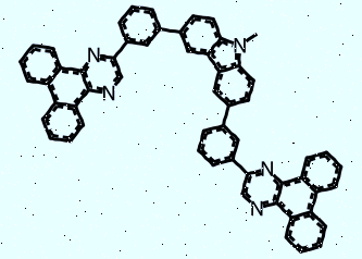 Cn1c2ccc(-c3cccc(-c4cnc5c6ccccc6c6ccccc6c5n4)c3)cc2c2cc(-c3cccc(-c4cnc5c6ccccc6c6ccccc6c5n4)c3)ccc21